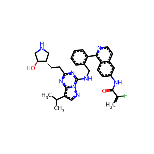 C=C(F)C(=O)Nc1ccc2c(-c3ccccc3CNc3nc(CC[C@H]4CNC[C@@H]4O)nc4c(C(C)C)cnn34)nccc2c1